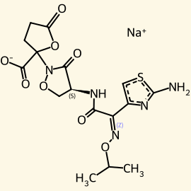 CC(C)O/N=C(\C(=O)N[C@H]1CON(C2(C(=O)[O-])CCC(=O)O2)C1=O)c1csc(N)n1.[Na+]